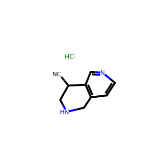 Cl.N#CC1CNCc2ccncc21